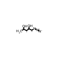 [CH2]C(O)CC(O)CN=[N+]=[N-]